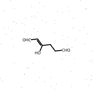 O=CC=C(O)CCC=O